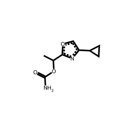 CC(OC(N)=O)c1nc(C2CC2)co1